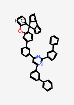 CC12CC=CC=C1Oc1cc(-c3cccc(-c4cc(-c5cccc(-c6ccccc6)c5)nc(-c5cccc(-c6ccccc6)c5)n4)c3)ccc1C21c2ccccc2-c2ccccc21